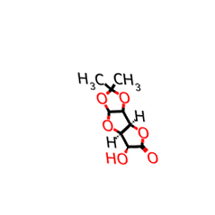 CC1(C)OC2O[C@@H]3[C@H](O)C(=O)O[C@@H]3C2O1